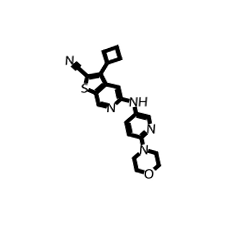 N#Cc1sc2cnc(Nc3ccc(N4CCOCC4)nc3)cc2c1C1CCC1